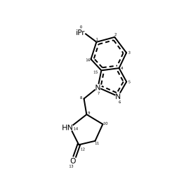 CC(C)c1ccc2cnn(CC3CCC(=O)N3)c2c1